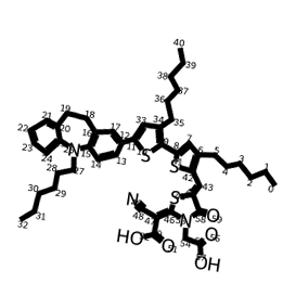 CCCCCCc1cc(-c2sc(-c3ccc4c(c3)CCc3ccccc3N4CCCCCC)cc2CCCCCC)sc1/C=c1\s/c(=C(\C#N)C(=O)O)n(CC(=O)O)c1=O